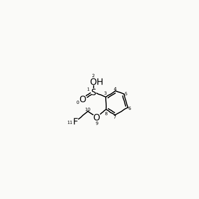 O=S(O)c1ccccc1OCF